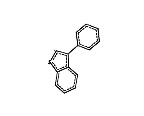 [c]1sc2ccccc2c1-c1ccccc1